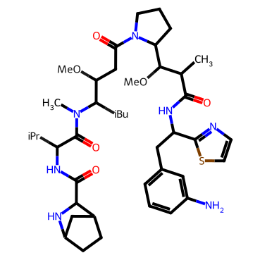 CCC(C)C(C(CC(=O)N1CCCC1C(OC)C(C)C(=O)NC(Cc1cccc(N)c1)c1nccs1)OC)N(C)C(=O)C(NC(=O)C1NC2CCC1C2)C(C)C